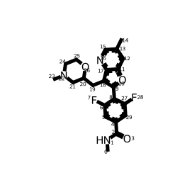 CNC(=O)c1cc(F)c(-c2oc3cc(C)cnc3c2CC2CN(C)CCO2)c(F)c1